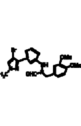 COc1ccc(CN(C=O)Nc2cccc(-c3nn(C)cc3Br)c2)cc1OC